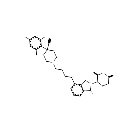 Cc1cc(C)c(C2(C#N)CCN(CCCCc3cccc4c3CN(C3CCC(=O)NC3=O)C4O)CC2)c(C)c1